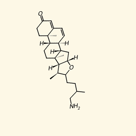 CC(CN)CCC1O[C@H]2C[C@H]3[C@@H]4C=CC5=CC(=O)CC[C@]5(C)[C@H]4CC[C@]3(C)[C@H]2[C@@H]1C